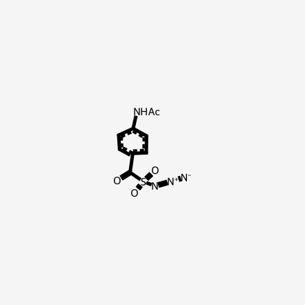 CC(=O)Nc1ccc(C(=O)S(=O)(=O)N=[N+]=[N-])cc1